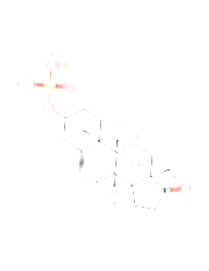 C[C@]12CCC(OS(=O)(=O)O)CC1=CC[C@@H]1[C@H]2CC[C@]2(C)C(=O)CC[C@@H]12